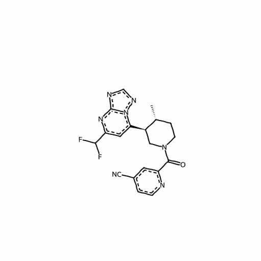 C[C@@H]1CCN(C(=O)c2cc(C#N)ccn2)C[C@H]1c1cc(C(F)F)nc2ncnn12